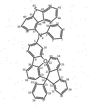 c1ccc(N(c2ccc3c(c2)oc2c(C4(c5ccccc5)c5ccccc5-c5ccccc54)cccc23)c2cccc3sc4ccccc4c23)cc1